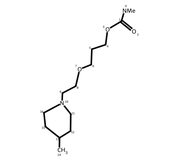 CNC(=O)OCCCOCCN1CCC(C)CC1